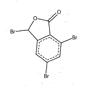 O=C1OC(Br)c2cc(Br)cc(Br)c21